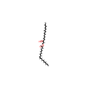 CCCCCCCC/C=C\CCCCCCCC(=O)OCCC(O)CCCCCCCCCCCCC